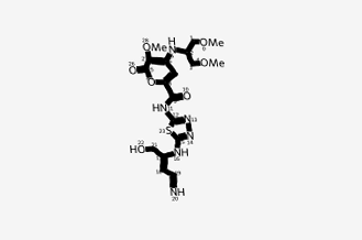 COCC(COC)Nc1cc(C(=O)Nc2nnc(N/C(=C\C=N)CO)s2)oc(=O)c1OC